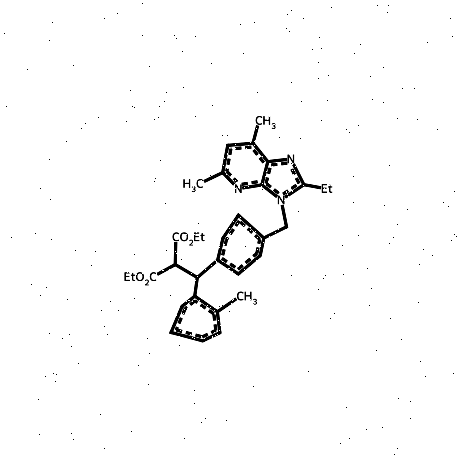 CCOC(=O)C(C(=O)OCC)C(c1ccc(Cn2c(CC)nc3c(C)cc(C)nc32)cc1)c1ccccc1C